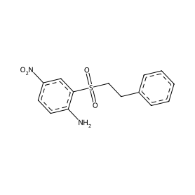 Nc1ccc([N+](=O)[O-])cc1S(=O)(=O)CCc1ccccc1